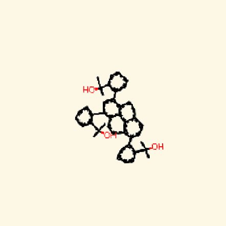 CC(C)(O)c1ccccc1-c1ccc2ccc3c(-c4ccccc4C(C)(C)O)cc(-c4ccccc4C(C)(C)O)c4ccc1c2c34